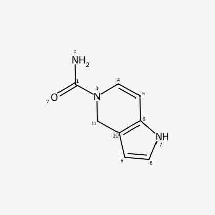 NC(=O)N1C=Cc2[nH]ccc2C1